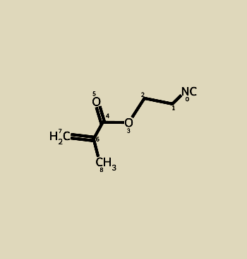 [C-]#[N+]CCOC(=O)C(=C)C